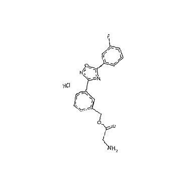 Cl.NCC(=O)OCc1cccc(-c2noc(-c3cccc(F)c3)n2)c1